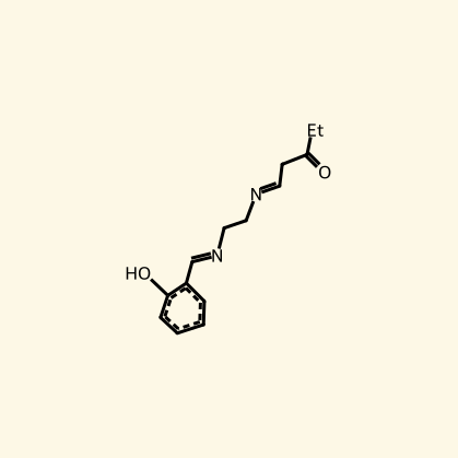 CCC(=O)CC=NCCN=Cc1ccccc1O